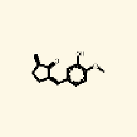 C=C1CCC(=Cc2ccc(OC)c(O)c2)C1=O